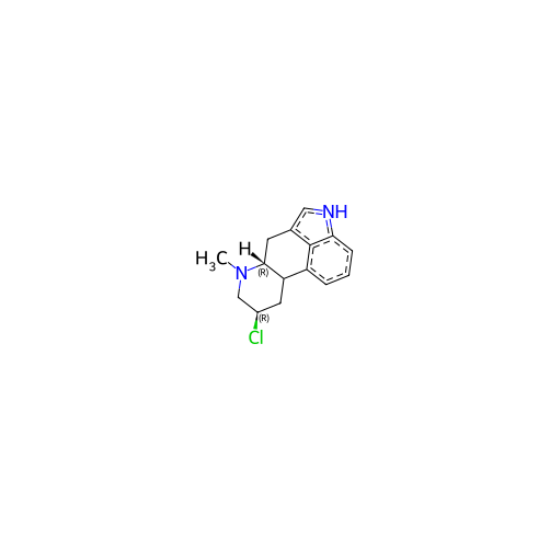 CN1C[C@H](Cl)CC2c3cccc4[nH]cc(c34)C[C@H]21